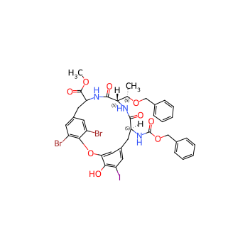 COC(=O)C1Cc2cc(Br)c(c(Br)c2)Oc2cc(cc(I)c2O)C[C@H](NC(=O)OCc2ccccc2)C(=O)N[C@@H]([C@H](C)OCc2ccccc2)C(=O)N1